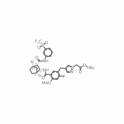 CCCCOC(=O)Cn1cc(Cc2cc(C(=O)N[C@@H]3[C@H]4CC[C@H](C4)[C@@H]3C(=O)Nc3cccc(S(=O)(=O)C(F)(F)F)c3)c(OC)cc2F)cn1